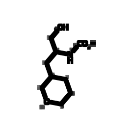 O=C(O)NC(CO)CC1CCCOC1